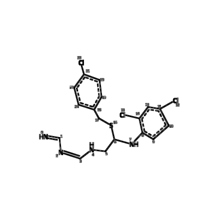 N=C/N=C\NCC(Nc1ccc(Cl)cc1Cl)SCc1ccc(Cl)cc1